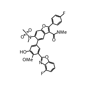 CNC(=O)c1c(-c2ccc(F)cc2)oc2cc(N(C)S(C)(=O)=O)c(-c3cc(O)c(OC)c(-c4nc5c(F)cccc5o4)c3)cc12